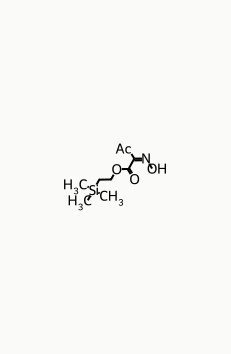 CC(=O)C(=NO)C(=O)OCC[Si](C)(C)C